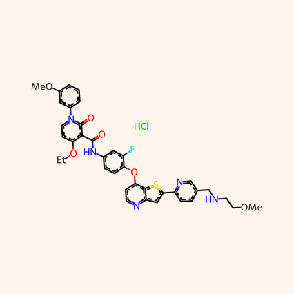 CCOc1ccn(-c2cccc(OC)c2)c(=O)c1C(=O)Nc1ccc(Oc2ccnc3cc(-c4ccc(CNCCOC)cn4)sc23)c(F)c1.Cl